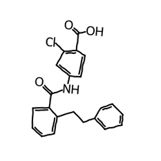 O=C(O)c1ccc(NC(=O)c2ccccc2CCc2ccccc2)cc1Cl